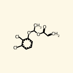 C=CC(=O)OC(C)Oc1cccc(Cl)c1Cl